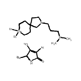 CCC(C)C1NC(=O)C(C(C)=O)=C1O.C[CH2][Ge]1([CH2]C)[CH2]CC2(CCN(CCCN(C)C)C2)C[CH2]1